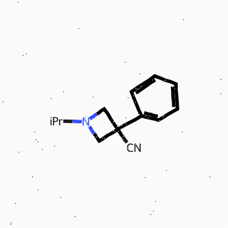 CC(C)N1CC(C#N)(c2ccccc2)C1